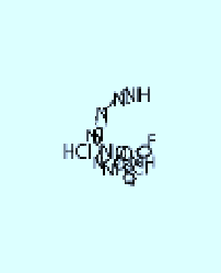 Cl.Nc1ncc(-c2cnn(C3CCN(CCCN4CCNCC4)CC3)c2)nc1C(=O)O[C@@H](C(=O)Nc1ccc(F)cc1)c1ccccc1Cl